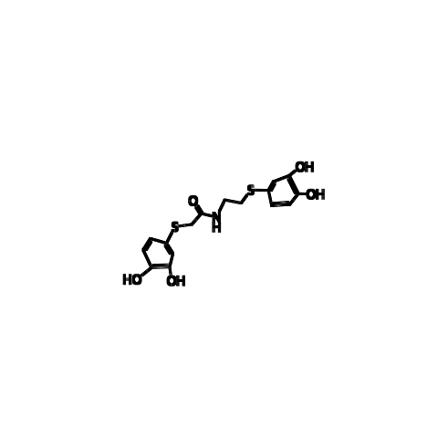 O=C(CSc1ccc(O)c(O)c1)NCCSc1ccc(O)c(O)c1